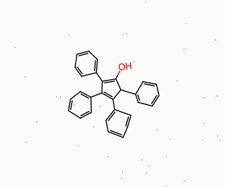 OC1=C(c2ccccc2)C(c2ccccc2)=C(c2ccccc2)C1c1ccccc1